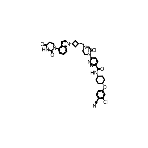 Cl.N#Cc1ccc(O[C@H]2CC[C@H](NC(=O)c3ccc(N4CCN(C[C@H]5C[C@@H](n6ccc7c(N8CCC(=O)NC8=O)cccc76)C5)CC4)nn3)CC2)cc1Cl